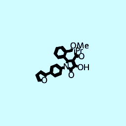 COCc1ccccc1C1C(C(=O)C(C)C)=C(O)C(=O)N1c1ccc(-c2ccco2)cc1